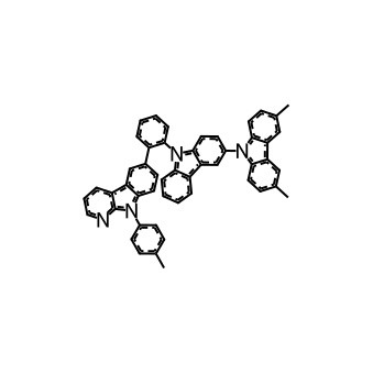 Cc1ccc(-n2c3ccc(-c4ccccc4-n4c5ccccc5c5cc(-n6c7ccc(C)cc7c7cc(C)ccc76)ccc54)cc3c3cccnc32)cc1